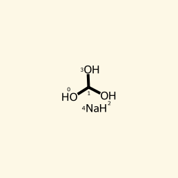 OC(O)O.[NaH]